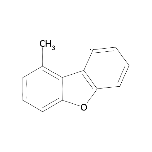 Cc1cccc2oc3ccc[c]c3c12